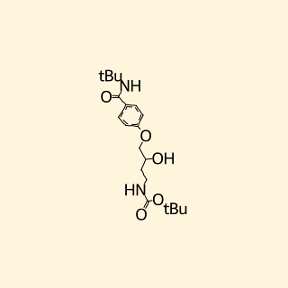 CC(C)(C)NC(=O)c1ccc(OCC(O)CCNC(=O)OC(C)(C)C)cc1